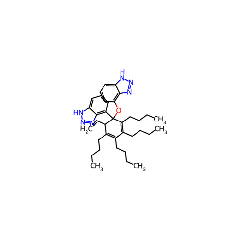 C=CC1C(CCCC)=C(CCCC)C(CCCC)=C(CCCC)C1(Oc1cccc2[nH]nnc12)c1cccc2[nH]nnc12